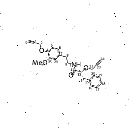 C#CCOc1ccc(CCNC(=O)[C@@H](Cc2ccccc2)OCC#C)cc1OC